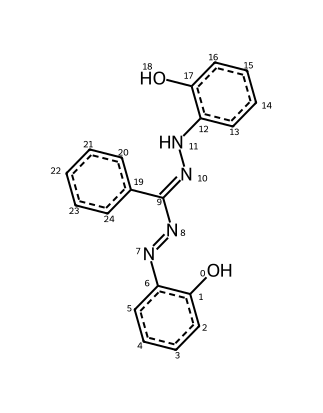 Oc1ccccc1/N=N/C(=N/Nc1ccccc1O)c1ccccc1